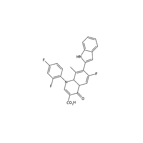 CC1=C(c2cc3ccccc3[nH]2)C(F)=CC2C(=O)C(C(=O)O)=CN(c3ccc(F)cc3F)C12